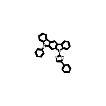 c1ccc(-c2cnc(-n3c4ccccc4c4cc5c6ccccc6n(-c6ccccc6)c5cc43)o2)cc1